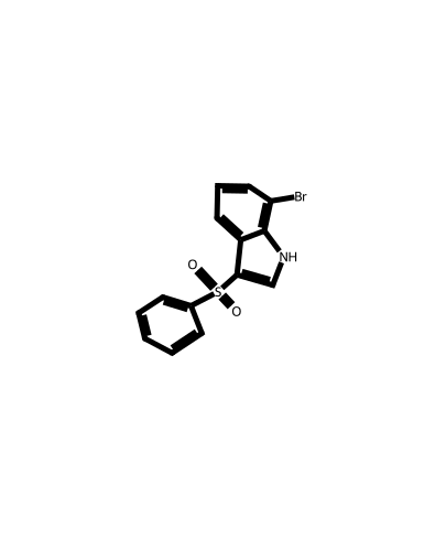 O=S(=O)(c1ccccc1)c1c[nH]c2c(Br)cccc12